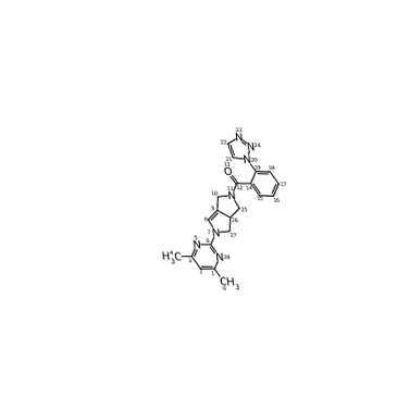 Cc1cc(C)nc(N2C=C3CN(C(=O)c4ccccc4-n4ccnn4)CC3C2)n1